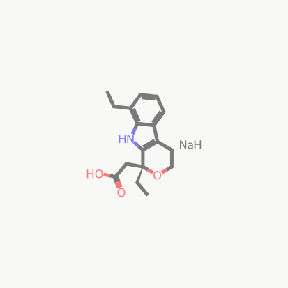 CCc1cccc2c3c([nH]c12)[C@@](CC)(CC(=O)O)OCC3.[NaH]